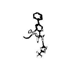 CCS(=O)(=O)c1cc(-c2ccccc2)cnc1C(=O)N(C)c1nnc(C(F)(F)F)s1